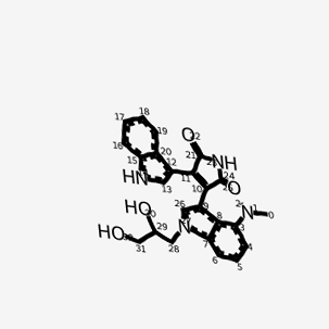 CN(C)c1cccc2c1c(C1=C(c3c[nH]c4ccccc34)C(=O)NC1=O)cn2CC(O)CO